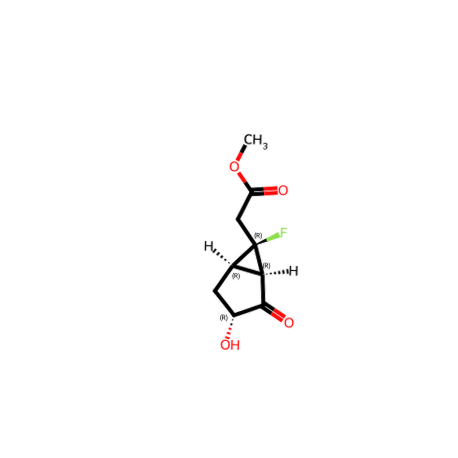 COC(=O)C[C@@]1(F)[C@@H]2C[C@@H](O)C(=O)[C@@H]21